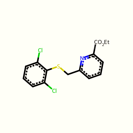 CCOC(=O)c1cccc(CSc2c(Cl)cccc2Cl)n1